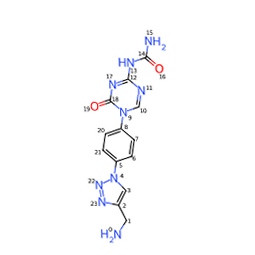 NCc1cn(-c2ccc(-n3cnc(NC(N)=O)nc3=O)cc2)nn1